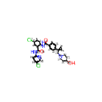 O=C(Nc1ccc(Cl)cc1C(=O)Nc1ccc(Cl)cn1)c1ccc(C2(CN3CCC(O)CC3)CC2)cc1